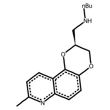 CCCCNC[C@H]1COc2ccc3nc(C)ccc3c2O1